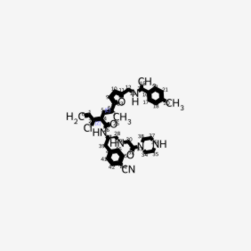 C=C/C(Cl)=C(\C=C(/C)c1ccc(CNC(C)c2ccc(C)cc2)o1)C(=O)N[C@@H](CNCC(=O)N1CCNCC1)Cc1ccc(C#N)cc1